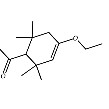 CCOC1=CC(C)(C)C(C(C)=O)C(C)(C)C1